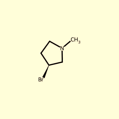 CN1CC[C@H](Br)C1